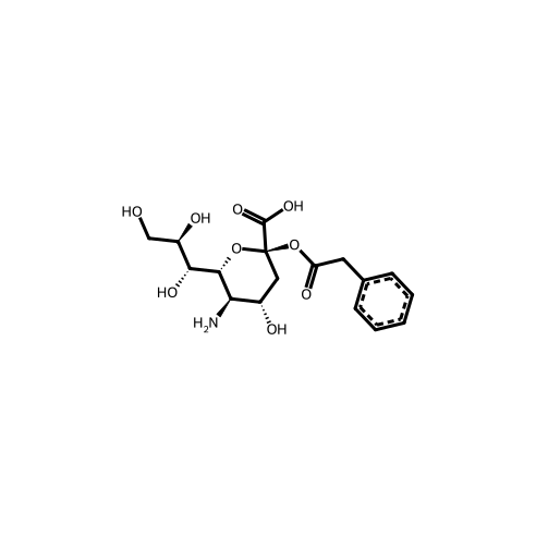 N[C@H]1[C@H]([C@H](O)[C@H](O)CO)O[C@](OC(=O)Cc2ccccc2)(C(=O)O)C[C@@H]1O